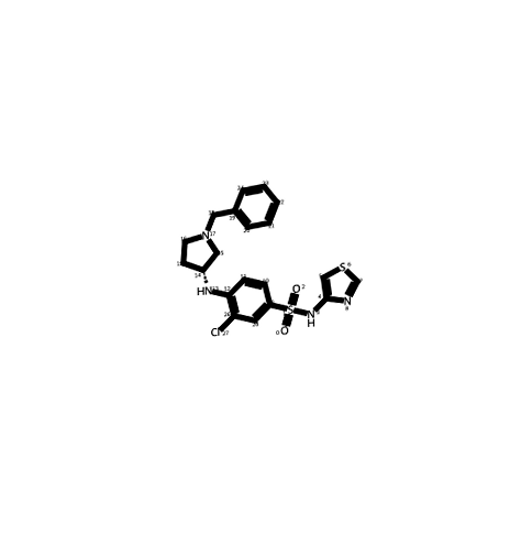 O=S(=O)(Nc1cscn1)c1ccc(N[C@@H]2CCN(Cc3ccccc3)C2)c(Cl)c1